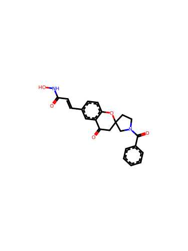 O=C(/C=C/c1ccc2c(c1)C(=O)CC1(CCN(C(=O)c3ccccc3)C1)O2)NO